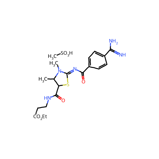 CCOC(=O)CCNC(=O)C1SC(=NC(=O)c2ccc(C(=N)N)cc2)N(C)C1C.CS(=O)(=O)O